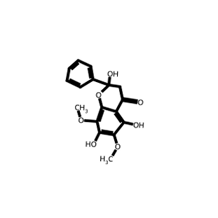 COc1c(O)c(OC)c2c(c1O)C(=O)CC(O)(c1ccccc1)O2